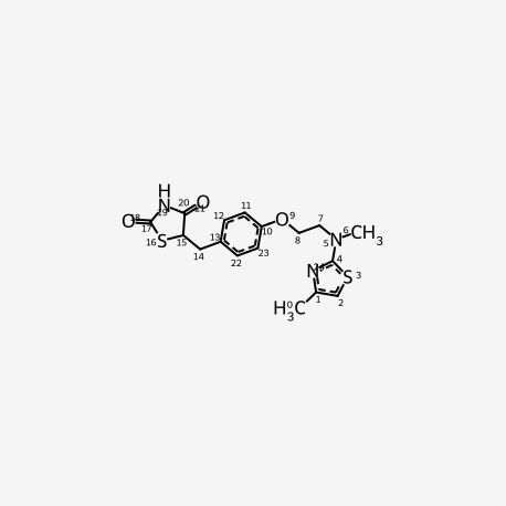 Cc1csc(N(C)CCOc2ccc(CC3SC(=O)NC3=O)cc2)n1